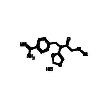 CCOCC(=O)N(Cc1ccc(C(=N)N)cc1)C1=COCO1.Cl